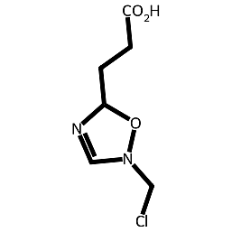 O=C(O)CCC1N=CN(CCl)O1